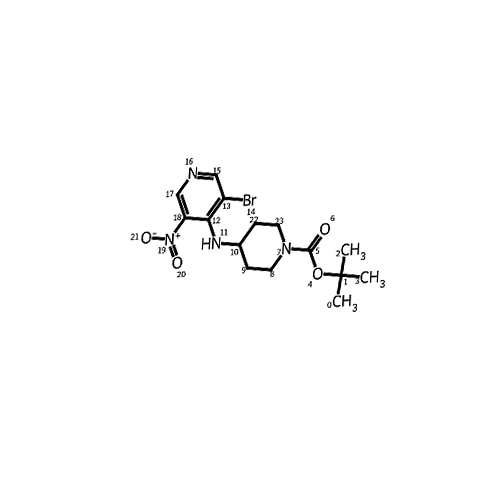 CC(C)(C)OC(=O)N1CCC(Nc2c(Br)cncc2[N+](=O)[O-])CC1